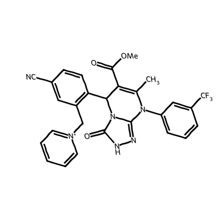 COC(=O)C1=C(C)N(c2cccc(C(F)(F)F)c2)c2n[nH]c(=O)n2C1c1ccc(C#N)cc1C[n+]1ccccc1